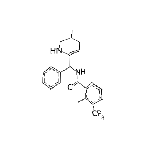 Cc1c(C(=O)NC(C2=CCC(C)CN2)c2ccccc2)cccc1C(F)(F)F